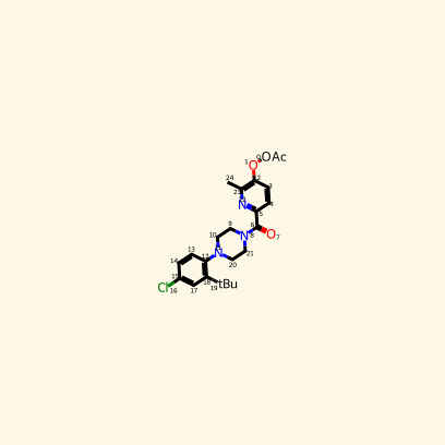 CC(=O)OOc1ccc(C(=O)N2CCN(c3ccc(Cl)cc3C(C)(C)C)CC2)nc1C